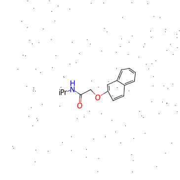 CC(C)NC(=O)COc1ccc2ccccc2c1